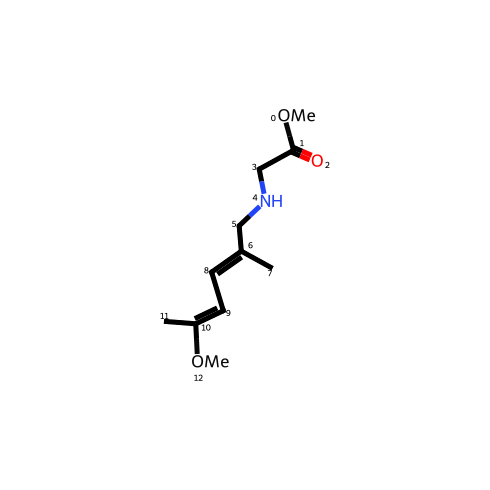 COC(=O)CNC/C(C)=C/C=C(\C)OC